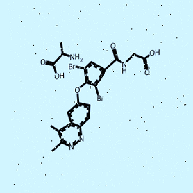 CC(N)C(=O)O.Cc1nnc2ccc(Oc3c(Br)cc(C(=O)NCC(=O)O)cc3Br)cc2c1C